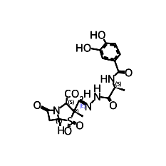 C[C@H](NC(=O)c1ccc(O)c(O)c1)C(=O)N/N=C/[C@@]1(C)[C@H](C(=O)O)N2C(=O)C[C@H]2S1(=O)=O